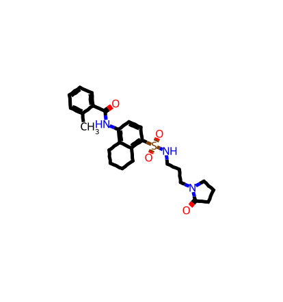 Cc1ccccc1C(=O)Nc1ccc(S(=O)(=O)NCCCN2CCCC2=O)c2c1CCCC2